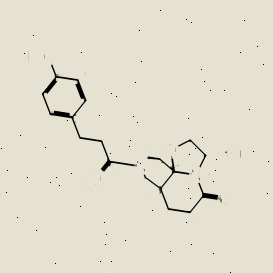 CC(C)[C@H]1COC23CCN(C(=O)CCc4ccc(C(F)(F)F)cc4)CC2CCC(=O)N13